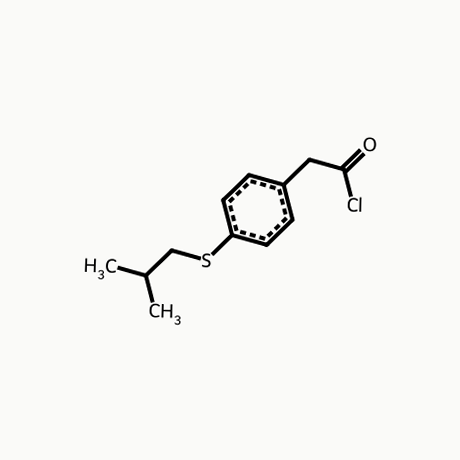 CC(C)CSc1ccc(CC(=O)Cl)cc1